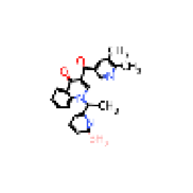 Bc1cccc(C(C)n2cc(C(=O)c3cnc(C)c(C)c3)c(=O)c3ccccc32)n1